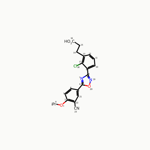 CC(C)Oc1ccc(-c2nc(-c3cccc(CCC(=O)O)c3Cl)no2)cc1C#N